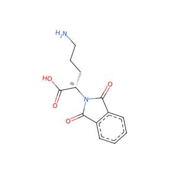 NCCC[C@@H](C(=O)O)N1C(=O)c2ccccc2C1=O